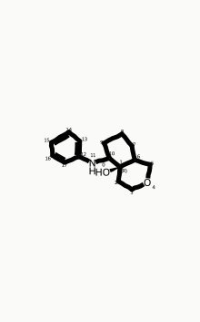 O[C@]12CCOCC1CCCC2Nc1ccccc1